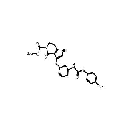 CC(C)(C)OC(=O)N1CCc2[nH]cc(Cc3cccc(NC(=O)Nc4ccc(C(F)(F)F)cc4)c3)c2C1=O